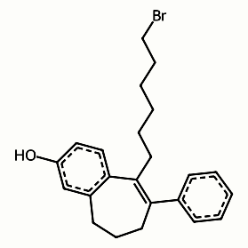 Oc1ccc2c(c1)CCCC(c1ccccc1)=C2CCCCCCBr